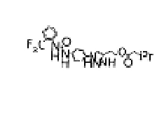 CC(C)CC(=O)OCCC1=CN(c2ccc(NC(=O)Nc3ccccc3C(F)(F)F)cc2)NN1